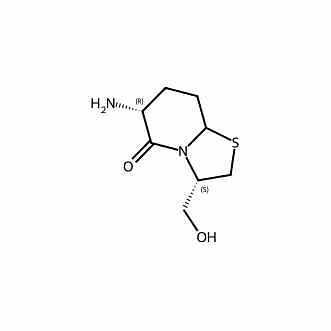 N[C@@H]1CCC2SC[C@H](CO)N2C1=O